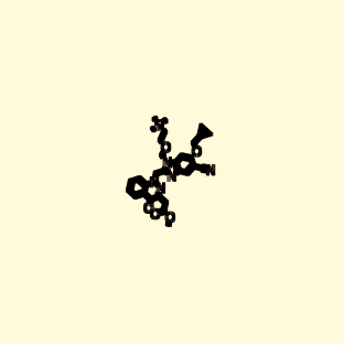 COC(=O)Cc1nn(Cc2nc3cc(C#N)c(OCC4CC4)cc3n2COCC[Si](C)(C)C)c2ccccc2c1=O